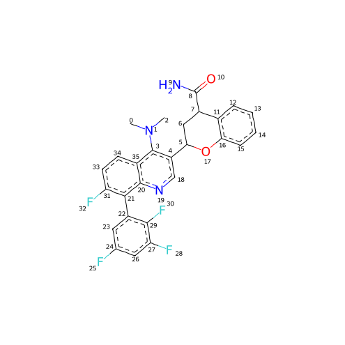 CN(C)c1c(C2CC(C(N)=O)c3ccccc3O2)cnc2c(-c3cc(F)cc(F)c3F)c(F)ccc12